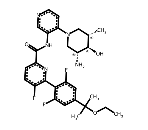 CCOC(C)(C)c1cc(F)c(-c2nc(C(=O)Nc3cnccc3N3C[C@@H](N)[C@H](O)[C@@H](C)C3)ccc2F)c(F)c1